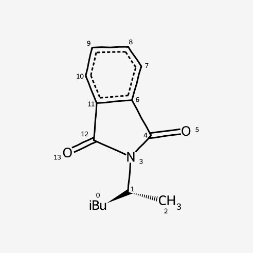 CC[C@H](C)[C@@H](C)N1C(=O)c2ccccc2C1=O